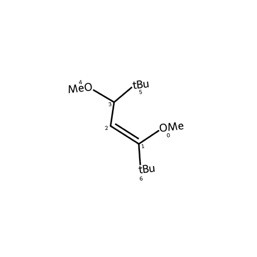 CO/C(=C\C(OC)C(C)(C)C)C(C)(C)C